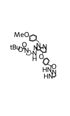 COc1ccc(Cn2nc(NC3CCN(C(=O)OC(C)(C)C)C3)c3c(Oc4ccc(C(=O)Nc5ncc[nH]5)cc4)ccnc32)cc1